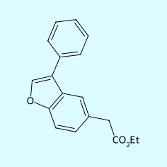 CCOC(=O)Cc1ccc2occ(-c3ccccc3)c2c1